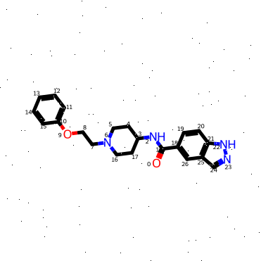 O=C(NC1CCN(CCOc2ccccc2)CC1)c1ccc2[nH]ncc2c1